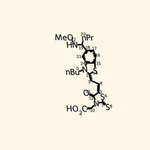 CCCCN1/C(=C/C=C2/SC(=S)N(CC(=O)O)C2=O)Sc2ccc(C(CCC)NOC)cc21